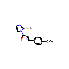 COc1ccc(/C=C/C(=O)n2ccnc2C)cc1